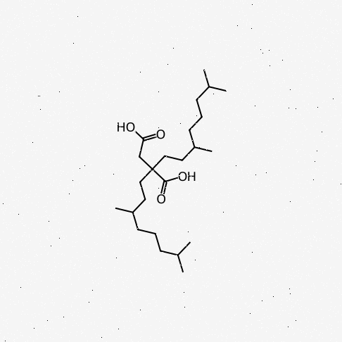 CC(C)CCCC(C)CCC(CCC(C)CCCC(C)C)(CC(=O)O)C(=O)O